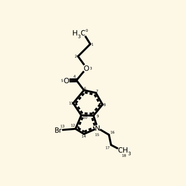 CCCOC(=O)c1ccc2c(c1)c(Br)cn2CCC